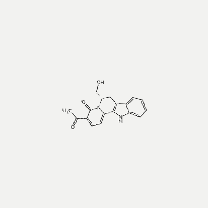 CC(=O)c1ccc2n(c1=O)[C@H](CO)Cc1c-2[nH]c2ccccc12